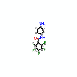 Nc1ccc(NC(=O)c2c(F)c(F)c(F)c(F)c2F)cc1